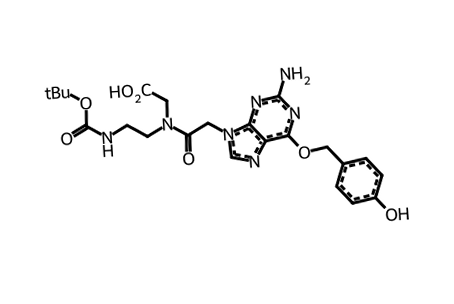 CC(C)(C)OC(=O)NCCN(CC(=O)O)C(=O)Cn1cnc2c(OCc3ccc(O)cc3)nc(N)nc21